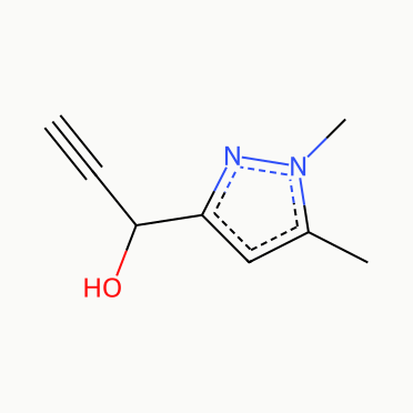 C#CC(O)c1cc(C)n(C)n1